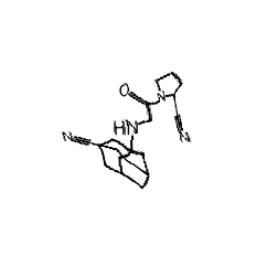 N#CC1CCCN1C(=O)CNC12CC3CC(CC(C#N)(C3)C1)C2